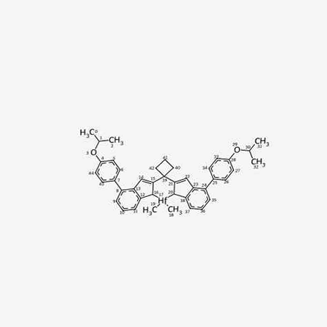 CC(C)Oc1ccc(-c2cccc3c2C=C2[CH]3[Hf]([CH3])([CH3])[CH]3C(=Cc4c(-c5ccc(OC(C)C)cc5)cccc43)C23CCC3)cc1